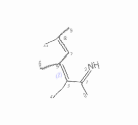 CC(=N)/C(C)=C(/C)C=C(C)C